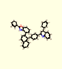 c1ccc(-c2nc3c(-c4ccc5ccccc5c4-c4ccc(-c5cc(-c6ccccc6)c6ccccc6n5)cc4)cccc3o2)cc1